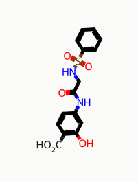 O=C(CNS(=O)(=O)c1ccccc1)Nc1ccc(C(=O)O)c(O)c1